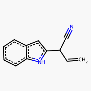 C=CC(C#N)c1cc2ccccc2[nH]1